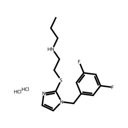 CCCNCCSc1nccn1Cc1cc(F)cc(F)c1.Cl.Cl